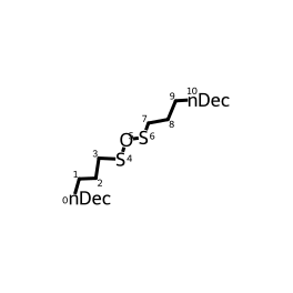 CCCCCCCCCCCCCSOSCCCCCCCCCCCCC